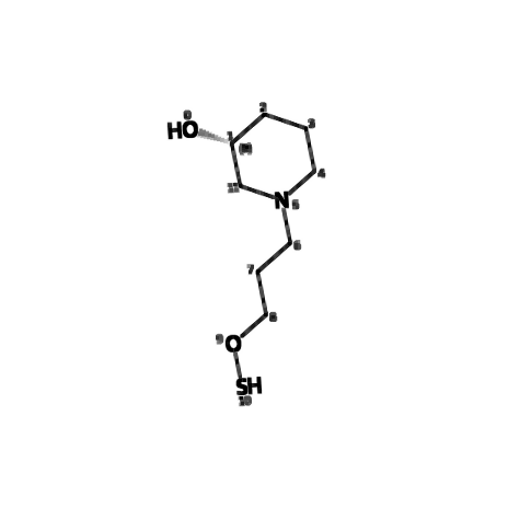 O[C@@H]1CCCN(CCCOS)C1